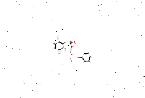 CCCCCCCCCCCC(C[C@@H]1OC(=O)[C@H]1Cc1c(F)c(F)c(F)c(F)c1F)OCc1ccccc1